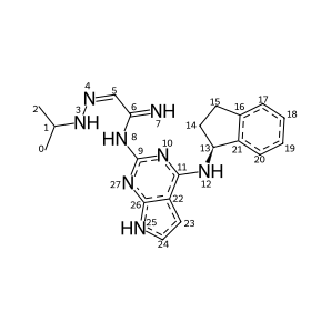 CC(C)N/N=C\C(=N)Nc1nc(N[C@H]2CCc3ccccc32)c2cc[nH]c2n1